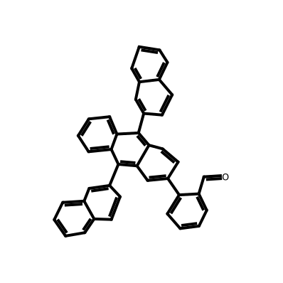 O=Cc1ccccc1-c1ccc2c(-c3ccc4ccccc4c3)c3ccccc3c(-c3ccc4ccccc4c3)c2c1